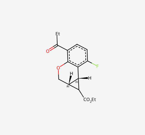 CCOC(=O)C1[C@H]2c3c(F)ccc(C(=O)CC)c3OC[C@@H]12